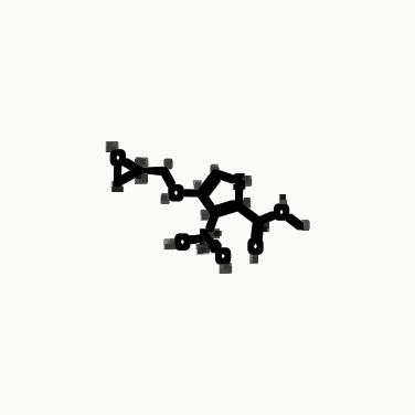 COC(=O)c1scc(OC[C@H]2CO2)c1[N+](=O)[O-]